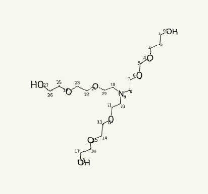 OCCCOCOCCN(CCOCCOCCO)CCOCCOCCO